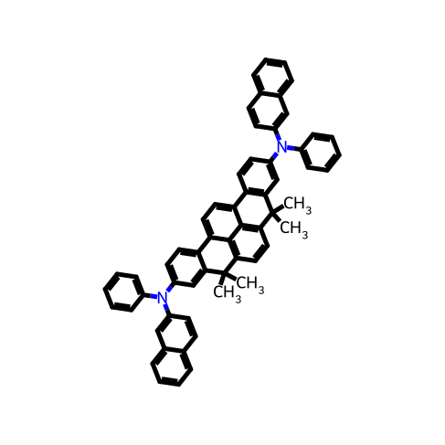 CC1(C)c2cc(N(c3ccccc3)c3ccc4ccccc4c3)ccc2-c2ccc3c4c(ccc1c24)C(C)(C)c1cc(N(c2ccccc2)c2ccc4ccccc4c2)ccc1-3